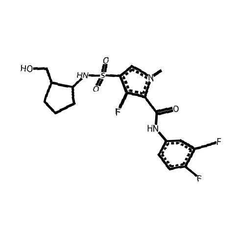 Cn1cc(S(=O)(=O)NC2CCCC2CO)c(F)c1C(=O)Nc1ccc(F)c(F)c1